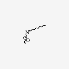 C=CC(=O)OCC[N+](C)(C)CCCCCCCCCC